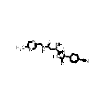 Cc1cnc(CNC(=O)CC(N)c2nc(-c3ccc(C#N)cc3)c(Cl)[nH]2)cn1